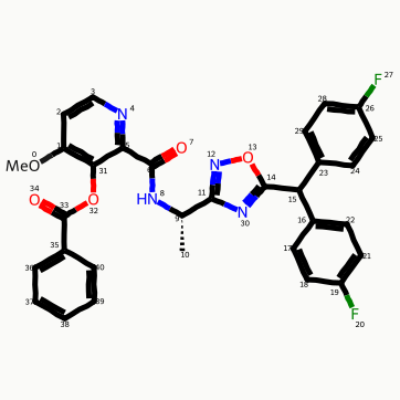 COc1ccnc(C(=O)N[C@@H](C)c2noc(C(c3ccc(F)cc3)c3ccc(F)cc3)n2)c1OC(=O)c1ccccc1